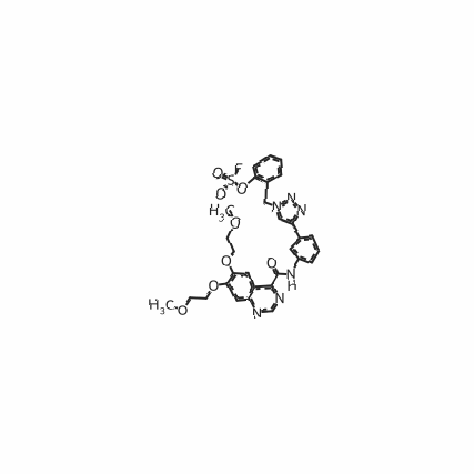 COCCOc1cc2ncnc(C(=O)Nc3cccc(-c4cn(Cc5ccccc5OS(=O)(=O)F)nn4)c3)c2cc1OCCOC